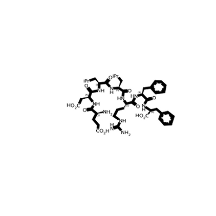 CC(C)C[C@H](NC(=O)[C@H](CC(C)C)NC(=O)[C@H](CC(=O)O)NC(=O)[C@@H](N)CCC(=O)O)C(=O)N[C@@H](CCCNC(=N)N)C(=O)N[C@@H](Cc1ccccc1)C(=O)N[C@@H](Cc1ccccc1)C(=O)O